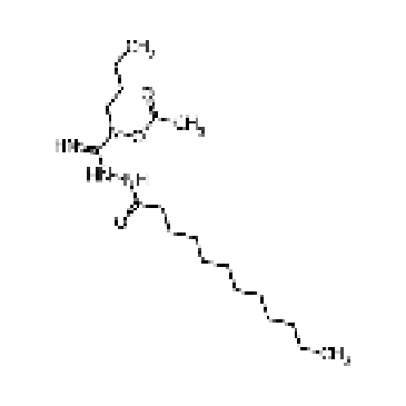 CCCCCCCCCCCC(=O)NNC(=N)N(CCCC)OC(C)=O